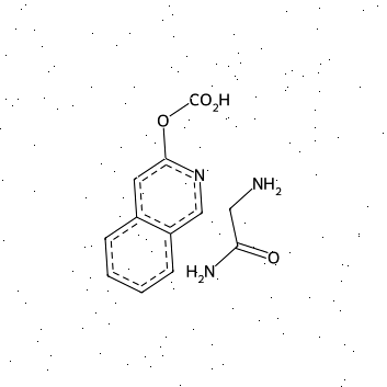 NCC(N)=O.O=C(O)Oc1cc2ccccc2cn1